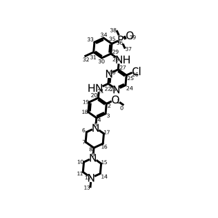 COc1cc(N2CCC(N3CCN(C)CC3)CC2)ccc1Nc1ncc(Cl)c(Nc2cc(C)ccc2P(C)(C)=O)n1